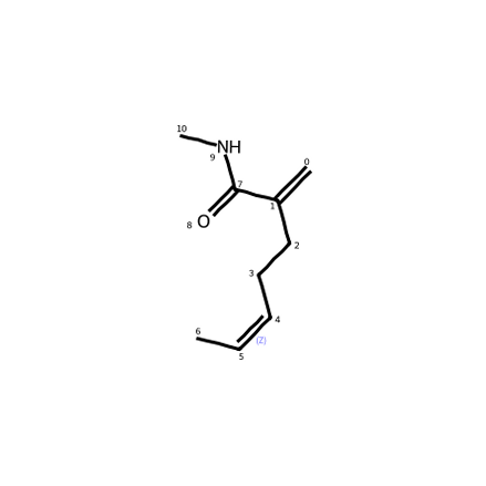 C=C(CC/C=C\C)C(=O)NC